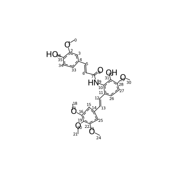 COc1cc(/C=C/C(=O)Nc2c(/C=C/c3cc(OC)c(OC)c(OC)c3)ccc(OC)c2O)ccc1O